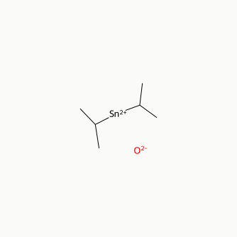 C[CH](C)[Sn+2][CH](C)C.[O-2]